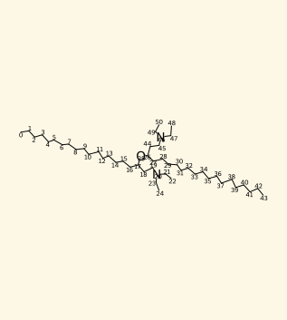 CCCCCCCCCCCCCCCCCC(CCN(CC)CC)OC(CCCCCCCCCCCCCCCCC)CCN(CC)CC